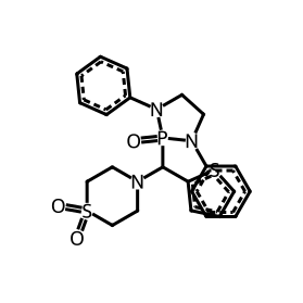 O=P1(C(c2cccs2)N2CCS(=O)(=O)CC2)N(c2ccccc2)CCN1c1ccccc1